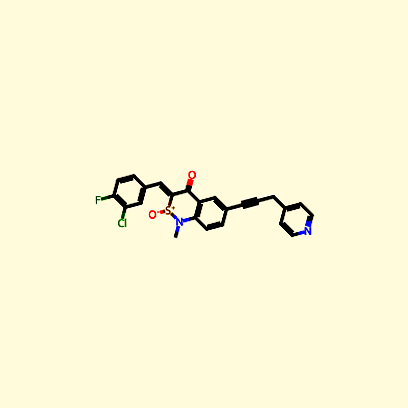 CN1c2ccc(C#CCc3ccncc3)cc2C(=O)/C(=C/c2ccc(F)c(Cl)c2)[S+]1[O-]